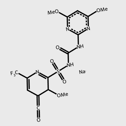 COc1cc(OC)nc(NC(=O)NS(=O)(=O)C2=NC(C(F)(F)F)=CC(=C=O)C2OC)n1.[Na]